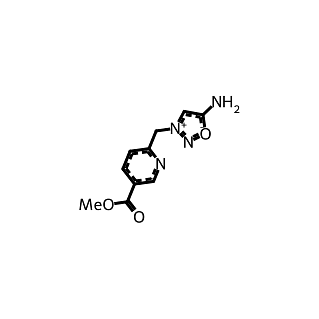 COC(=O)c1ccc(C[n+]2cc(N)on2)nc1